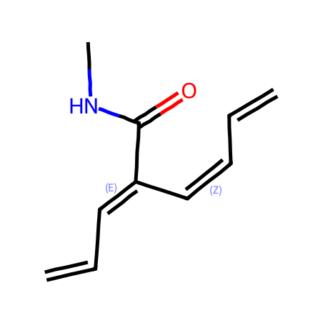 C=C/C=C\C(=C/C=C)C(=O)NC